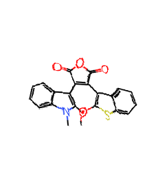 COc1sc2ccccc2c1C1=C(c2c(C)n(C)c3ccccc23)C(=O)OC1=O